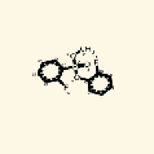 COP(=O)(Oc1ccccc1F)c1ccccc1F